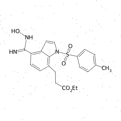 CCOC(=O)CCc1ccc(C(=N)NO)c2ccn(S(=O)(=O)c3ccc(C)cc3)c12